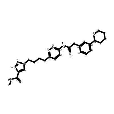 CNC(=O)c1cn(CCCCc2ccc(NC(=O)Cc3cccc(C4CCCCO4)c3)nn2)nn1